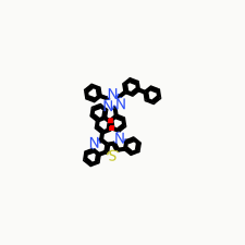 c1ccc(-c2cccc(-c3nc(-c4ccccc4)nc(-c4ccc(-n5c6ccccc6c6sc7c8ccccc8nc(-c8ccc9ccccc9c8)c7c65)cc4)n3)c2)cc1